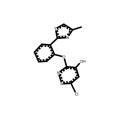 Cc1csc(-c2ccccc2Oc2nnc(Cl)cc2O)n1